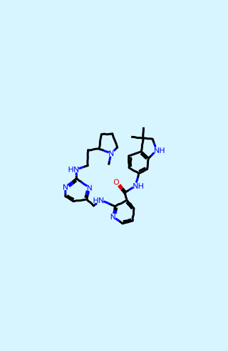 CN1CCCC1CCNc1nccc(CNc2ncccc2C(=O)Nc2ccc3c(c2)NCC3(C)C)n1